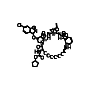 C=C[C@@H]1C[C@@]12NC(=O)[C@@H]1C[C@@H](Oc3noc4cc(Cl)ccc34)CN1C(=O)[C@@H](NC(=O)OC1CCCC1)CCCCCCCNc1ccccc1S(=O)(=O)NC2=O